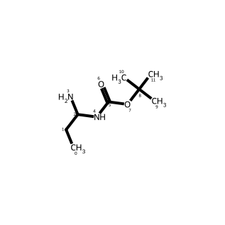 CCC(N)NC(=O)OC(C)(C)C